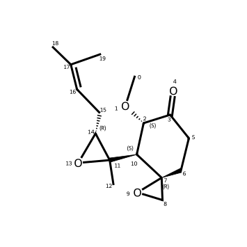 CO[C@@H]1C(=O)CC[C@]2(CO2)[C@H]1C1(C)O[C@@H]1CC=C(C)C